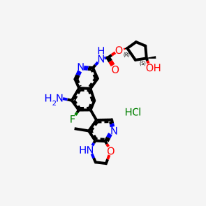 Cc1c(-c2cc3cc(NC(=O)O[C@@H]4CC[C@](C)(O)C4)ncc3c(N)c2F)cnc2c1NCCO2.Cl